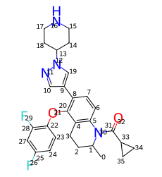 CC1CCc2c(ccc(-c3cnn(C4CCNCC4)c3)c2Oc2ccc(F)cc2F)N1C(=O)C1CC1